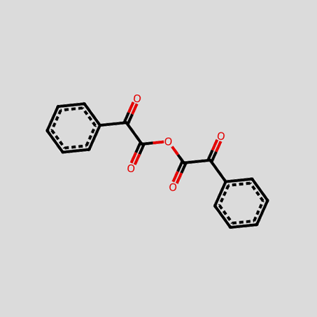 O=C(OC(=O)C(=O)c1ccccc1)C(=O)c1ccccc1